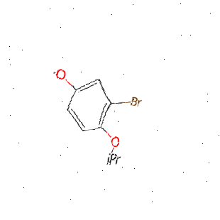 CC(C)Oc1ccc([O])cc1Br